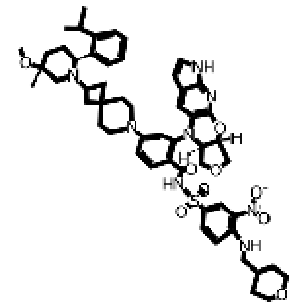 CO[C@]1(C)CC[C@@H](c2ccccc2C(C)C)N(C2CC3(CCN(c4ccc(C(=O)NS(=O)(=O)c5ccc(NCC6CCOCC6)c([N+](=O)[O-])c5)c(N5c6cc7cc[nH]c7nc6O[C@@H]6COC[C@H]65)c4)CC3)C2)C1